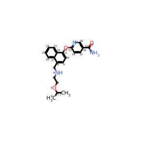 CC(C)OCCNCc1ccc(Oc2ccc(C(N)=O)cn2)c2ccccc12